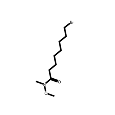 CON(C)C(=O)CCCCCCCBr